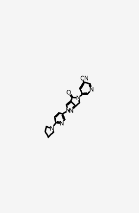 N#Cc1cncc(N2Cc3nn(-c4ccc(N5CCCC5)nc4)cc3C2=O)c1